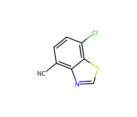 N#Cc1ccc(Cl)c2scnc12